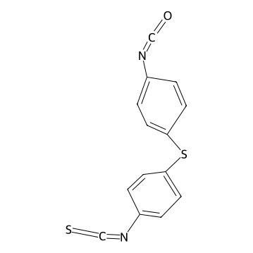 O=C=Nc1ccc(Sc2ccc(N=C=S)cc2)cc1